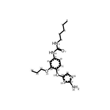 CCCCCNC(=O)Nc1ccc(Oc2cnc(N)s2)c(OCCC)c1